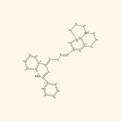 O/C(=C\C(=C/C/C=C/c1cc2c3c(c1)CCCN3CCC2)c1ccccc1)c1ccccc1